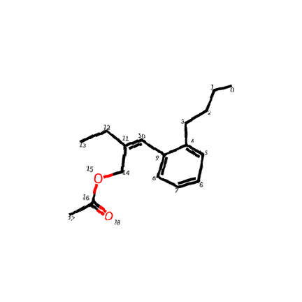 CCCCc1ccccc1C=C(CC)COC(C)=O